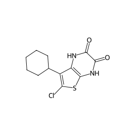 O=c1[nH]c2sc(Cl)c(C3CCCCC3)c2[nH]c1=O